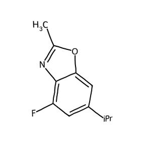 Cc1nc2c(F)cc(C(C)C)cc2o1